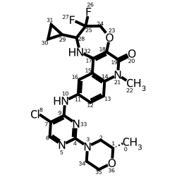 C[C@H]1CN(c2ncc(Cl)c(Nc3ccc4c(c3)c3c(c(=O)n4C)OCC(F)(F)C(C4CC4)N3)n2)CCO1